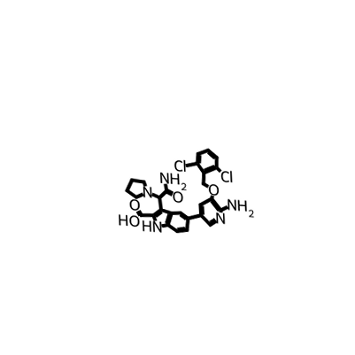 NC(=O)C(c1c(C(=O)O)[nH]c2ccc(-c3cnc(N)c(OCc4c(Cl)cccc4Cl)c3)cc12)N1CCCC1